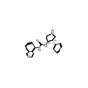 O=C(Nc1cccc2cnccc12)O[C@H]1CNC[C@@H]1c1ccccc1